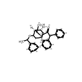 CC(OC1C[C@@H]2CC[C@H]1[C@@H](C(=O)O)N2C(=O)C(c1ccccc1)c1ccccc1)c1ccccc1